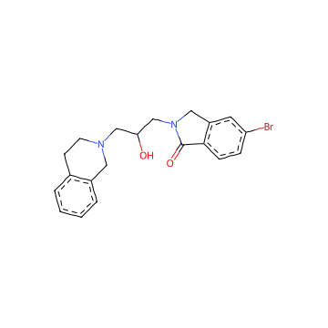 O=C1c2ccc(Br)cc2CN1CC(O)CN1CCc2ccccc2C1